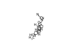 CC[C@@]1(O)CC[C@H]2[C@@H](CC[C@@H]3[C@@H]2CC[C@]2(C)[C@@H](C(=O)Cn4cc(C#N)cn4)CC[C@@H]32)C1